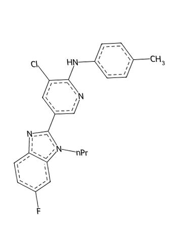 CCCn1c(-c2cnc(Nc3ccc(C)cc3)c(Cl)c2)nc2ccc(F)cc21